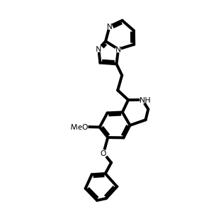 COc1cc2c(cc1OCc1ccccc1)CCNC2CCc1cnc2ncccn12